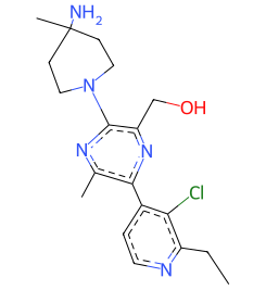 CCc1nccc(-c2nc(CO)c(N3CCC(C)(N)CC3)nc2C)c1Cl